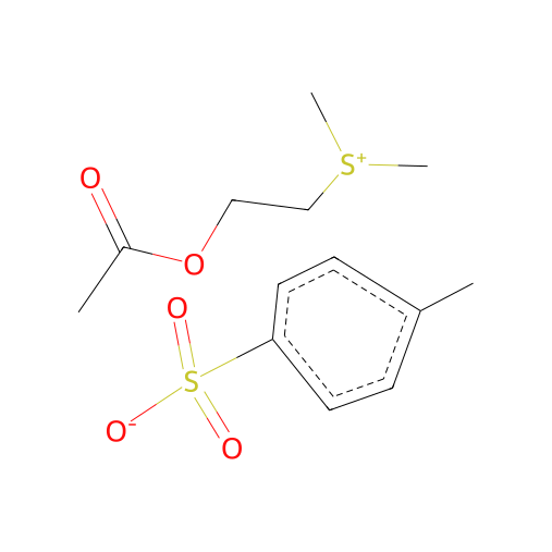 CC(=O)OCC[S+](C)C.Cc1ccc(S(=O)(=O)[O-])cc1